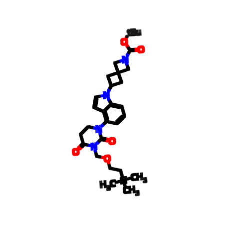 CC(C)(C)OC(=O)N1CC2(CC(n3ccc4c(N5CCC(=O)N(COCC[Si](C)(C)C)C5=O)cccc43)C2)C1